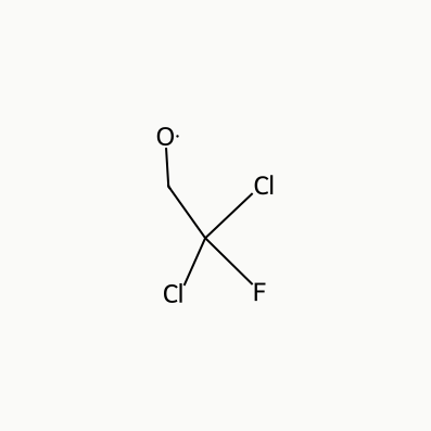 [O]CC(F)(Cl)Cl